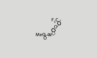 COC(=O)C1CN(C2CCc3cc(OCc4ccc(C)c(C(F)(F)F)c4)ccc32)C1